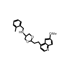 COc1ccc2nccc(CCC3OCC(NCc4ccccc4C)CO3)c2c1